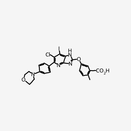 Cc1ccc(Oc2nc3nc(-c4ccc(N5CCOCC5)cc4)c(Cl)c(I)c3[nH]2)cc1C(=O)O